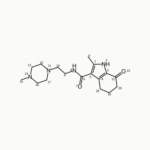 Cc1[nH]c2c(c1C(=O)NCCN1CCN(C)CC1)CCCC2=O